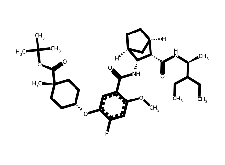 CCC(CC)[C@H](C)NC(=O)[C@H]1[C@@H]2CC[C@@H](C2)[C@H]1NC(=O)c1cc(O[C@H]2CC[C@@](C)(C(=O)OC(C)(C)C)CC2)c(F)cc1OC